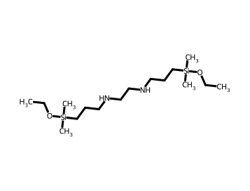 CCO[Si](C)(C)CCCNCCNCCC[Si](C)(C)OCC